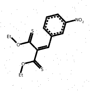 CCOC(=S)C(=Cc1cccc([N+](=O)[O-])c1)C(=S)OCC